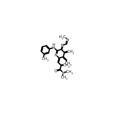 C=C(/C=C1N=C(Nc2cccc(C)c2)/C(=N/C=N\C)C(=C)C/1=C/C)C(=O)N(C)C